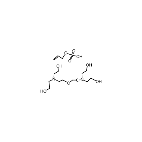 C=CCOS(=O)(=O)O.OCCN(CCO)CCOCCN(CCO)CCO